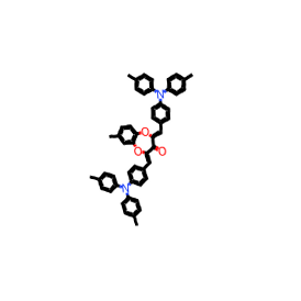 Cc1ccc(N(c2ccc(C)cc2)c2ccc(/C=C3\Oc4ccc(C)cc4O/C(=C\c4ccc(N(c5ccc(C)cc5)c5ccc(C)cc5)cc4)C3=O)cc2)cc1